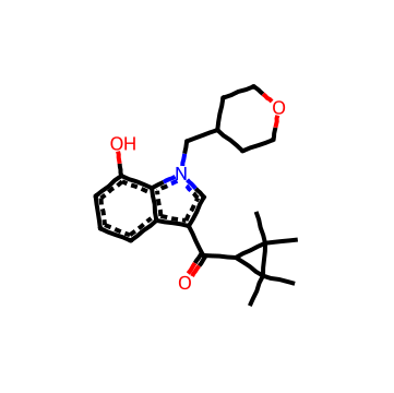 CC1(C)C(C(=O)c2cn(CC3CCOCC3)c3c(O)cccc23)C1(C)C